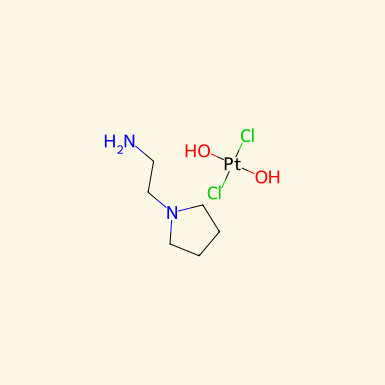 NCCN1CCCC1.[OH][Pt]([OH])([Cl])[Cl]